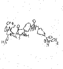 CNS(=O)(=O)c1ccc(CNC(=O)c2ccc3c(=O)n(-c4nc(OC)cc(OC)n4)c(=S)[nH]c3c2)cc1